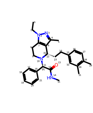 CCn1nc(C)c2c1CCN([C@@H](C(=O)NC)c1ccccc1)[C@H]2CCc1ccc(C)c(C)c1